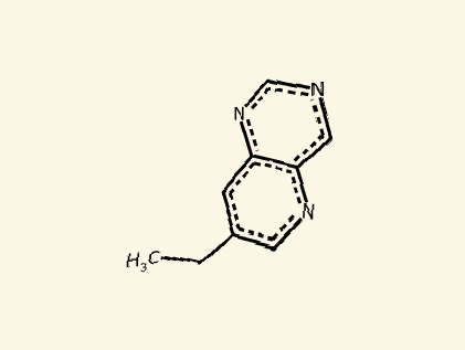 CCc1cnc2cncnc2c1